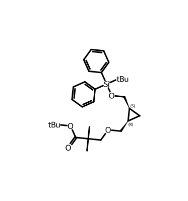 CC(C)(C)OC(=O)C(C)(C)COC[C@@H]1C[C@@H]1CO[Si](c1ccccc1)(c1ccccc1)C(C)(C)C